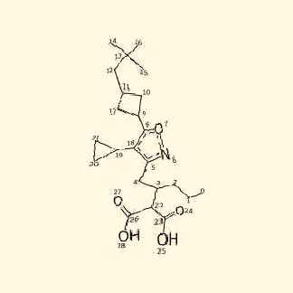 CCCC(Cc1noc(C2CC(CC(C)(C)C)C2)c1C1CC1)C(C(=O)O)C(=O)O